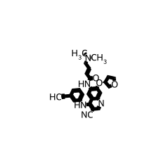 C#Cc1cccc(Nc2c(C#N)cnc3cc(O[C@@H]4CCOC4)c(NC(=O)C=CCN(C)C)cc23)c1